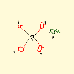 [Cl+4].[O-][Si]([O-])([O-])[O-]